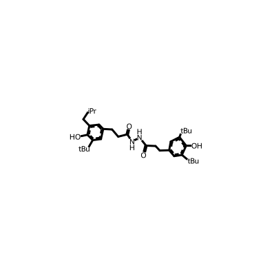 CC(C)Cc1cc(CCC(=O)NNC(=O)CCc2cc(C(C)(C)C)c(O)c(C(C)(C)C)c2)cc(C(C)(C)C)c1O